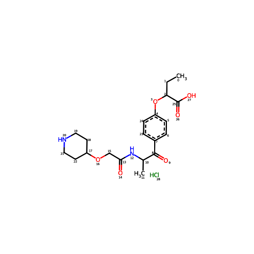 CCC(Oc1ccc(C(=O)C(C)NC(=O)COC2CCNCC2)cc1)C(=O)O.Cl